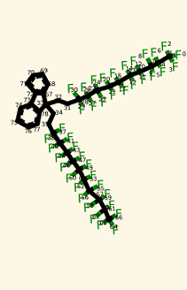 FC(F)(F)C(F)(F)C(F)(F)C(F)(F)C(F)(F)C(F)(F)C(F)(F)C(F)(F)C(F)(F)C(F)(F)CCC1(CCC(F)(F)C(F)(F)C(F)(F)C(F)(F)C(F)(F)C(F)(F)C(F)(F)C(F)(F)C(F)(F)C(F)(F)F)c2ccccc2-c2ccccc21